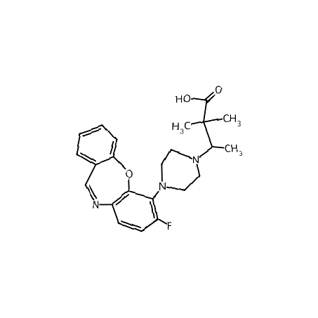 CC(N1CCN(c2c(F)ccc3c2Oc2ccccc2C=N3)CC1)C(C)(C)C(=O)O